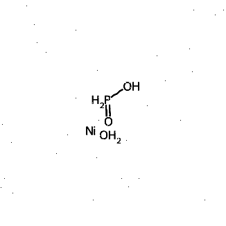 O.O=[PH2]O.[Ni]